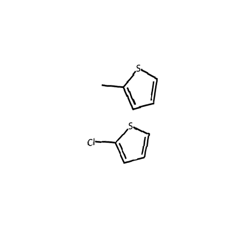 Cc1cccs1.Clc1cccs1